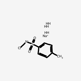 Cc1ccc(S(=O)(=O)[N-]Cl)cc1.[HH].[HH].[HH].[Na+]